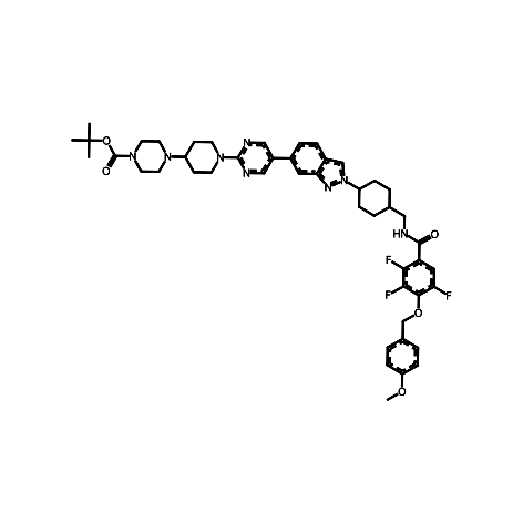 COc1ccc(COc2c(F)cc(C(=O)NCC3CCC(n4cc5ccc(-c6cnc(N7CCC(N8CCN(C(=O)OC(C)(C)C)CC8)CC7)nc6)cc5n4)CC3)c(F)c2F)cc1